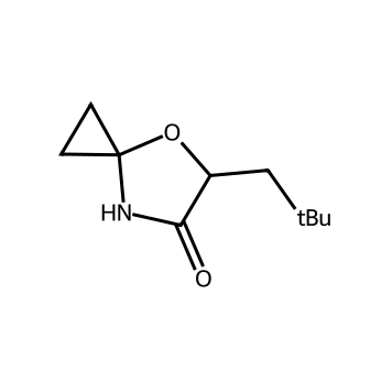 CC(C)(C)CC1OC2(CC2)NC1=O